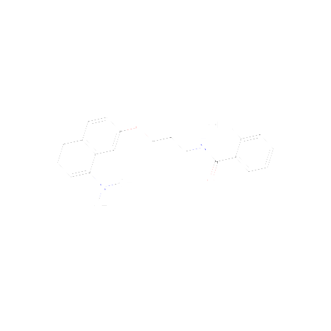 CN(C)C1=CCCc2ccc(OCCCNC(=O)c3ccccc3C=O)cc21